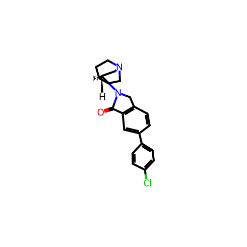 O=C1c2cc(-c3ccc(Cl)cc3)ccc2CN1[C@H]1CN2CCC1CC2